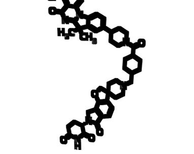 CC1(C)c2cc(C3CCN(C(=O)C4CCC(CN5CCC6(CC5)COc5c6ccc6c5CN([C@H]5CCC(=O)NC5=O)C6=O)CC4)CC3)ccc2-n2c1nc(=O)c1c(Cl)cccc12